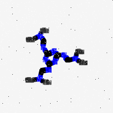 CC(C)(C)N(C=Nc1nc(N=CN(C(C)(C)C)C(C)(C)C)nc(N=CN(C(C)(C)C)C(C)(C)C)n1)C(C)(C)C